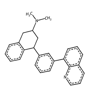 CN(C)C1Cc2ccccc2C(c2cccc(-c3cccc4cccnc34)c2)C1